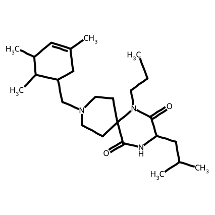 CCCN1C(=O)C(CC(C)C)NC(=O)C12CCN(CC1CC(C)=CC(C)C1C)CC2